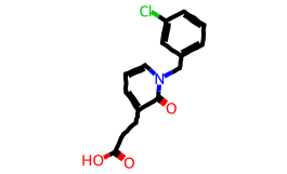 O=C(O)CCc1cccn(Cc2cccc(Cl)c2)c1=O